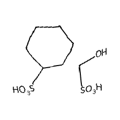 O=S(=O)(O)C1CCCCC1.O=S(=O)(O)CO